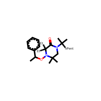 CCCCCC(C)(C)N1CC(C)(C)N(OC(C)c2ccccc2)C(CC)(CC)C1=O